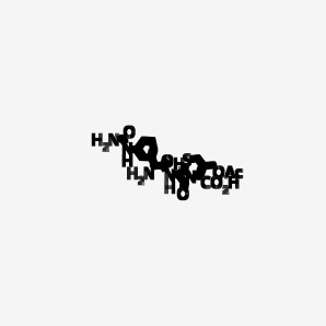 CC(=O)OCC1=C(C(=O)O)N2C(=O)C(NC(=O)C(N)c3cccc(NC(N)=O)c3)[C@@H]2SC1